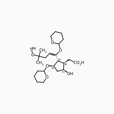 CCCOC(C)(C)CC=C(OC1CCCCO1)[C@@H]1[C@@H](CC(=O)O)[C@@H](O)C[C@H]1OC1CCCCO1